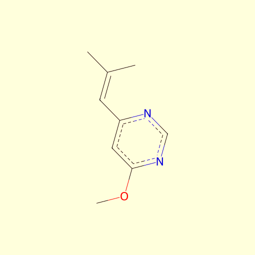 COc1cc(C=C(C)C)ncn1